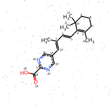 CC(C=CC1=C(C)CCCC1(C)C)=Cc1cnc(C(=O)O)nc1